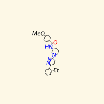 CCc1ccccc1-c1ccc(N2CCCC(NC(=O)c3ccc(OC)cc3)C2)nn1